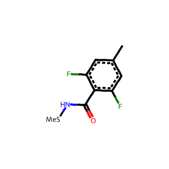 CSNC(=O)c1c(F)cc(C)cc1F